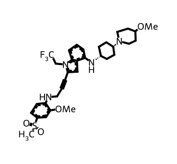 COc1cc(S(C)(=O)=O)ccc1NCC#Cc1cc2c(N[C@H]3CC[C@@H](N4CCC(OC)CC4)CC3)cccc2n1CC(F)(F)F